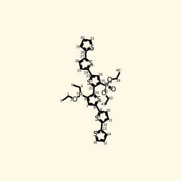 CCOP(CC)c1cc(-c2ccc(-c3cccs3)s2)sc1-c1sc(-c2ccc(-c3cccs3)s2)cc1P(=O)(OCC)OCC